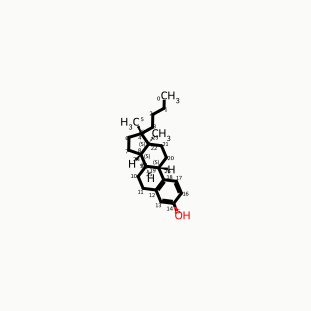 CCCC[C@@]1(C)CC[C@H]2[C@@H]3CCc4cc(O)ccc4[C@H]3CC[C@@]21C